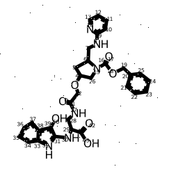 O=C(COC1CC(CNc2ccccn2)N(C(=O)OCc2ccccc2)C1)NCC(Nc1[nH]c2ccccc2c1O)C(=O)O